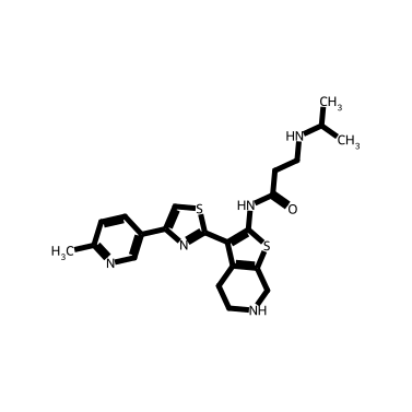 Cc1ccc(-c2csc(-c3c(NC(=O)CCNC(C)C)sc4c3CCNC4)n2)cn1